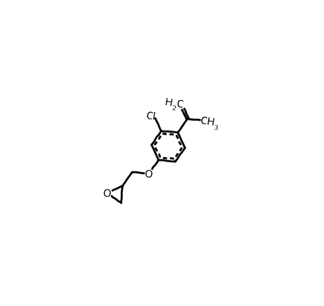 C=C(C)c1ccc(OCC2CO2)cc1Cl